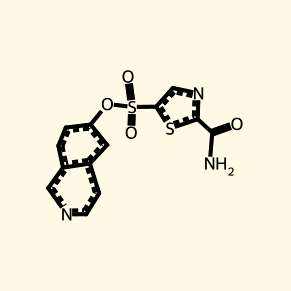 NC(=O)c1ncc(S(=O)(=O)Oc2ccc3cnccc3c2)s1